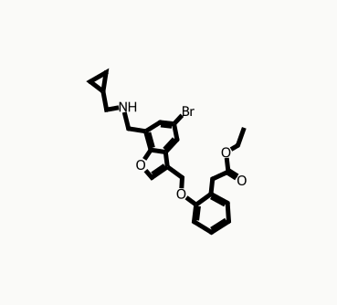 CCOC(=O)Cc1ccccc1OCc1coc2c(CNCC3CC3)cc(Br)cc12